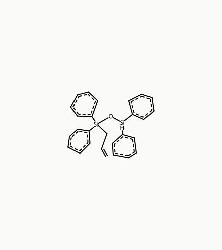 C=CC[Si](O[SiH](c1ccccc1)c1ccccc1)(c1ccccc1)c1ccccc1